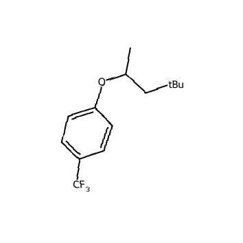 CC(CC(C)(C)C)Oc1ccc(C(F)(F)F)cc1